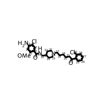 COc1cc(N)c(Cl)cc1C(=O)NCC1CCN(CCCCCC(=O)c2ccccc2Cl)CC1